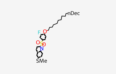 CCCCCCCCCCCCCCCCCCCCOc1ccc(S(=O)(=O)c2ccc3cc(SC)ccc3n2)cc1F